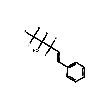 OC(F)(C(F)(F)F)C(F)(F)C=Cc1ccccc1